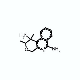 CC1OCc2nc(N)c3ccccc3c2C1(C)N